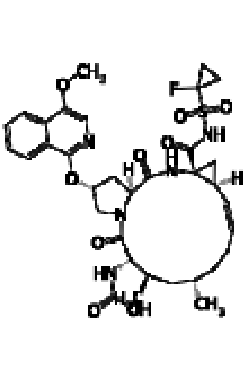 COc1cnc(O[C@@H]2C[C@H]3C(=O)N[C@]4(C(=O)NS(=O)(=O)C5(F)CC5)C[C@H]4C=CCC[C@H](C)C[C@@H](C)[C@H](NC(=O)O)C(=O)N3C2)c2ccccc12